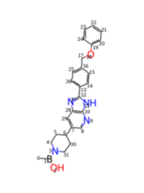 CB(O)N1CCC(c2cnc3[nH]c(-c4ccc(COc5ccccc5)cc4)nc3c2)CC1